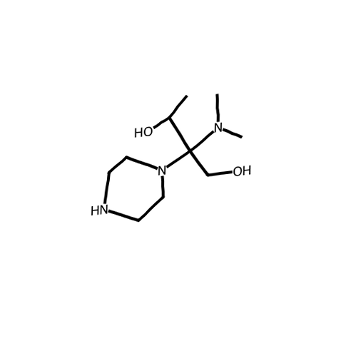 CC(O)C(CO)(N(C)C)N1CCNCC1